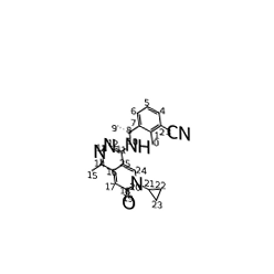 Cc1c(C#N)cccc1[C@@H](C)Nc1nnc(C)c2cc(=O)n(C3CC3)cc12